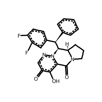 O=C1c2c(O)c(=O)cnn2[C@@H]([C@H](c2ccccc2)c2ccc(F)c(F)c2)[C@H]2CCCN12